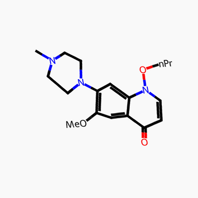 CCCOn1ccc(=O)c2cc(OC)c(N3CCN(C)CC3)cc21